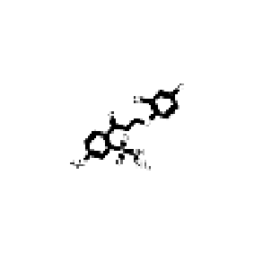 Cc1ccc(C(=O)CCOc2ccc(Cl)cc2Cl)c(S(=O)(=O)NN)c1